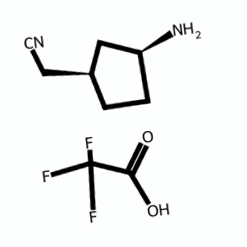 N#CC[C@@H]1CC[C@H](N)C1.O=C(O)C(F)(F)F